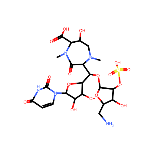 CN1CC(O)C(C(=O)O)N(C)C(=O)C1C(OC1OC(CN)C(O)C1OS(=O)(=O)O)C1OC(n2ccc(=O)[nH]c2=O)C(O)C1O